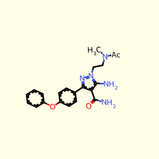 CC(=O)N(C)CCn1nc(-c2ccc(Oc3ccccc3)cc2)c(C(N)=O)c1N